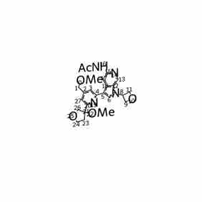 COCc1cc(-c2cn(C3COC3)c3cnc(NC(C)=O)cc23)nc(C2(OC)CCOC2)c1